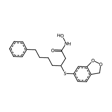 O=C(CC(CCCCc1ccccc1)Sc1ccc2c(c1)OOC2)NO